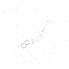 COC1CCCN(C(=O)C(C)N2CCC(CNS(=O)(=O)c3ccc4cc(Cl)ccc4c3)C2=O)C1